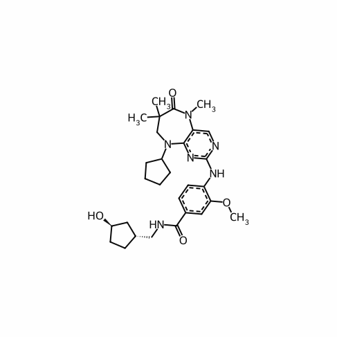 COc1cc(C(=O)NC[C@@H]2CC[C@@H](O)C2)ccc1Nc1ncc2c(n1)N(C1CCCC1)CC(C)(C)C(=O)N2C